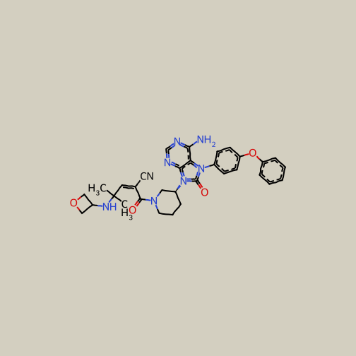 CC(C)(/C=C(/C#N)C(=O)N1CCC[C@H](n2c(=O)n(-c3ccc(Oc4ccccc4)cc3)c3c(N)ncnc32)C1)NC1COC1